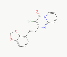 O=c1c(Br)c(C=Cc2cccc3c2OCO3)nc2ccccn12